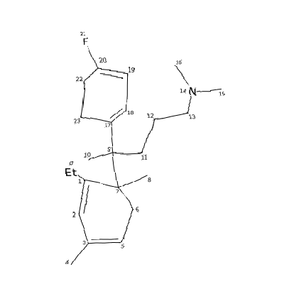 CCC1=CC(C)=CCC1(C)C(C)(CCCN(C)C)C1=CC=C(F)CC1